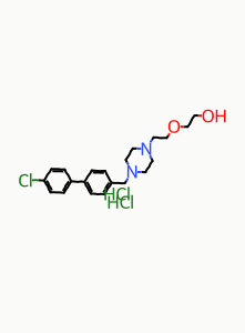 Cl.Cl.OCCOCCN1CCN(Cc2ccc(-c3ccc(Cl)cc3)cc2)CC1